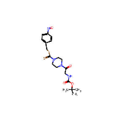 CC(C)(C)OC(=O)NCC(=O)N1CCN(C(=S)SCc2ccc(N=O)cc2)CC1